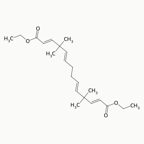 CCOC(=O)C=CC(C)(C)C=CCCC=CC(C)(C)C=CC(=O)OCC